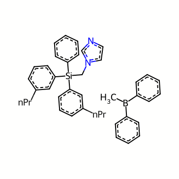 CB(c1ccccc1)c1ccccc1.CCCc1cccc([Si](Cn2ccnc2)(c2ccccc2)c2cccc(CCC)c2)c1